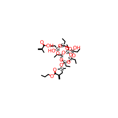 C=C(C)C(=O)O.C=C(C[Si](C)(C)O[Si]1(CC)O[Si]2(CC)O[Si](O)(CC)O[Si]3(CC)O[Si](O)(CC)O[Si](CC)(O1)O[Si](CC)(O3)O2)C(=O)OCCC